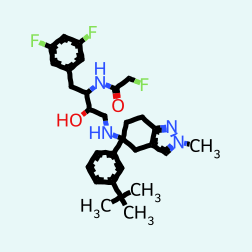 Cn1cc2c(n1)CCC(NCC(O)C(Cc1cc(F)cc(F)c1)NC(=O)CF)(c1cccc(C(C)(C)C)c1)C2